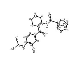 N=C(C1=C(NC(=O)N2CCN3CCC2CC3)COCC1)c1ccc(OC(F)F)c(Cl)c1